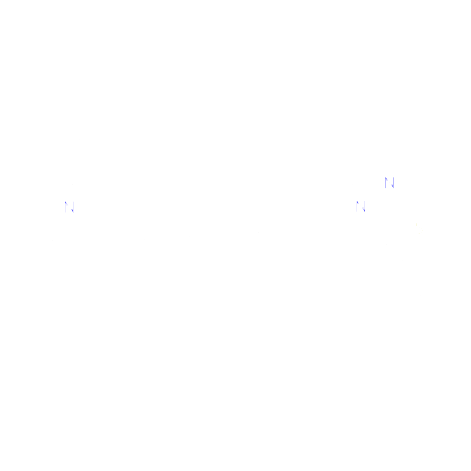 c1ccc(-n2c3ccccc3c3ccc(-c4ccc(-c5ccc(-c6ccc(-c7cc8c9cc%10ccccc%10cc9sc8c8nc9ccccc9n78)cc6)c6ccccc56)cc4)cc32)cc1